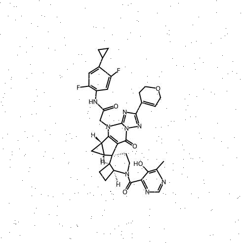 Cc1ncnc(C(=O)N2CC[C@]3(c4c(n(CC(=O)Nc5cc(F)c(C6CC6)cc5F)c5nc(C6=CCOCC6)nn5c4=O)[C@H]4C[C@H]43)[C@@H]3CC[C@@H]32)c1O